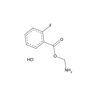 Cl.NCOC(=O)c1ccccc1F